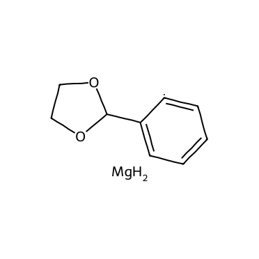 [MgH2].[c]1ccccc1C1OCCO1